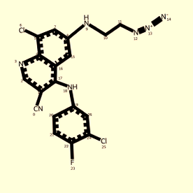 N#Cc1cnc2c(Cl)cc(NCCN=[N+]=[N-])cc2c1Nc1ccc(F)c(Cl)c1